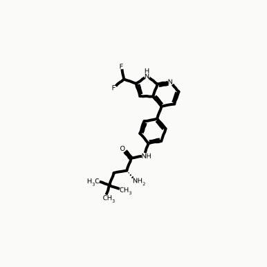 CC(C)(C)C[C@@H](N)C(=O)Nc1ccc(-c2ccnc3[nH]c(C(F)F)cc23)cc1